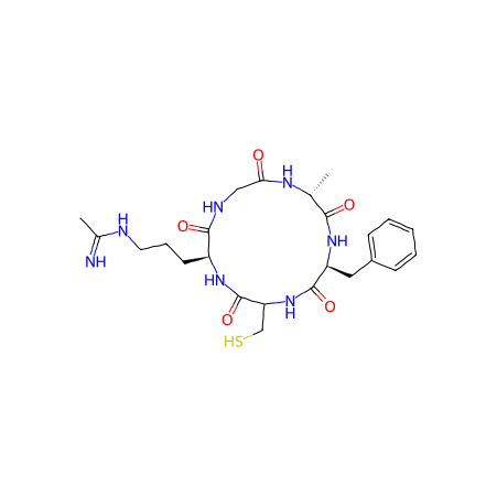 CC(=N)NCCC[C@@H]1NC(=O)C(CS)NC(=O)[C@H](Cc2ccccc2)NC(=O)[C@@H](C)NC(=O)CNC1=O